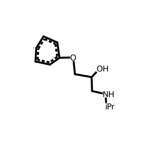 CC(C)NCC(O)COc1cc[c]cc1